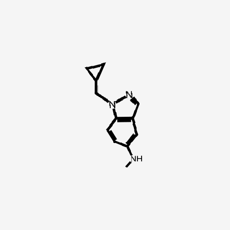 CNc1ccc2c(cnn2CC2CC2)c1